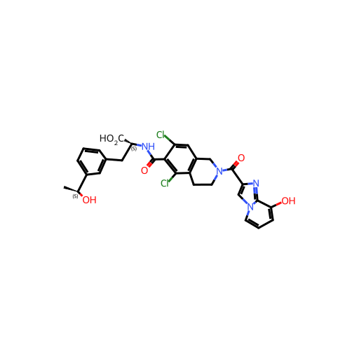 C[C@H](O)c1cccc(C[C@H](NC(=O)c2c(Cl)cc3c(c2Cl)CCN(C(=O)c2cn4cccc(O)c4n2)C3)C(=O)O)c1